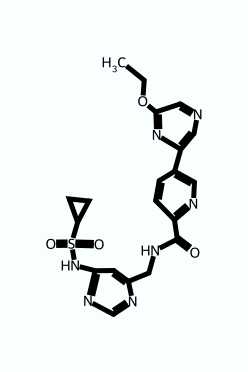 CCOc1cncc(-c2ccc(C(=O)NCc3cc(NS(=O)(=O)C4CC4)ncn3)nc2)n1